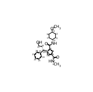 CNC(=O)c1cc(C(=O)N[C@H]2CC[C@H](OC)CC2)n([C@@H](CCO)c2ccccc2)n1